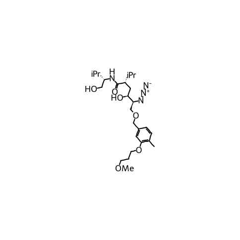 COCCCOc1cc(COC[C@H](N=[N+]=[N-])[C@@H](O)C[C@H](C(=O)N[C@H](CO)C(C)C)C(C)C)ccc1C